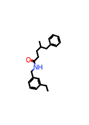 CCc1cccc(CNC(=O)CCC(C)Cc2ccccc2)c1